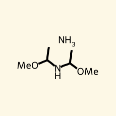 COC(C)NC(C)OC.N